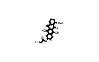 COC1=C2C(=O)c3c(O)c4c(c(O)c3C(=O)C2=CCC1)CC(OC(=O)CO)CC4